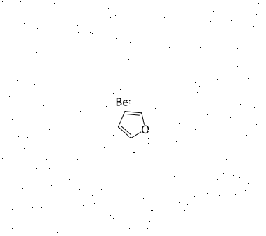 [Be].c1ccoc1